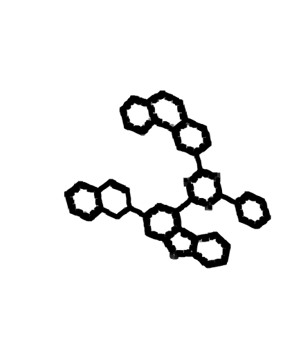 C1=CC(c2cc(-c3nc(-c4ccccc4)nc(-c4ccc5ccc6ccccc6c5c4)n3)c3c(c2)oc2ccccc23)Cc2ccccc21